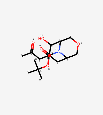 CC(=O)CC1CC2COCC(C1O)N2C(=O)OC(C)(C)C